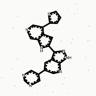 c1csc(-c2cncc3[nH]c(-c4n[nH]c5ncc(-c6cncnc6)cc45)cc23)c1